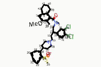 COc1cc2c(c(C(=O)N(C)CC(CCN3CCC(c4ccccc4[S+](C)[O-])CC3)c3ccc(Cl)c(Cl)c3)c1C)CCCC2